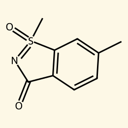 Cc1ccc2c(c1)S(C)(=O)=NC2=O